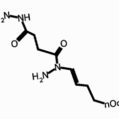 CCCCCCCCCCC=CN(N)C(=O)CCC(=O)NN